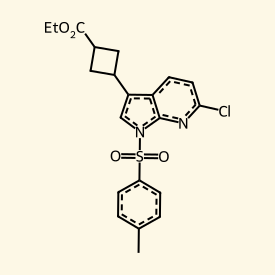 CCOC(=O)C1CC(c2cn(S(=O)(=O)c3ccc(C)cc3)c3nc(Cl)ccc23)C1